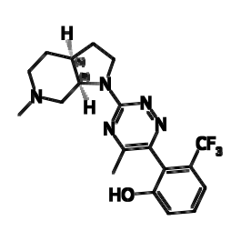 Cc1nc(N2CC[C@@H]3CCN(C)C[C@@H]32)nnc1-c1c(O)cccc1C(F)(F)F